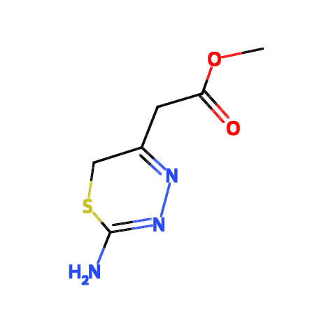 COC(=O)CC1=NN=C(N)SC1